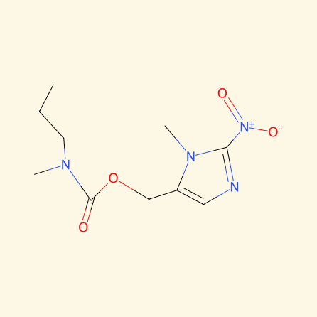 CCCN(C)C(=O)OCc1cnc([N+](=O)[O-])n1C